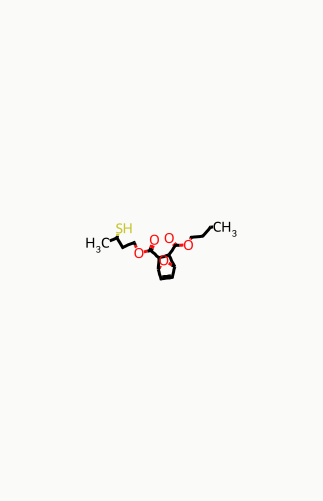 CCCCOC(=O)C1C2C=CC(O2)C1C(=O)OCCC(C)S